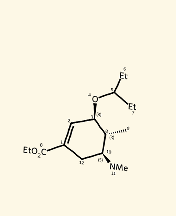 CCOC(=O)C1=C[C@@H](OC(CC)CC)[C@H](C)[C@@H](NC)C1